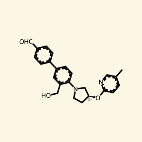 Cc1ccc(O[C@H]2CCN(c3ccc(-c4ccc(C=O)cc4)cc3CO)C2)nc1